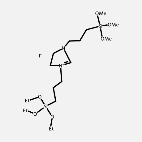 CCO[Si](CCC[N+]1=CN(CCC[Si](OC)(OC)OC)CC1)(OCC)OCC.[I-]